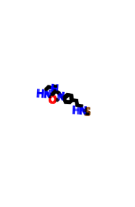 CSNCCCc1ccc(N(C=O)CC2CNCCN2C)cc1